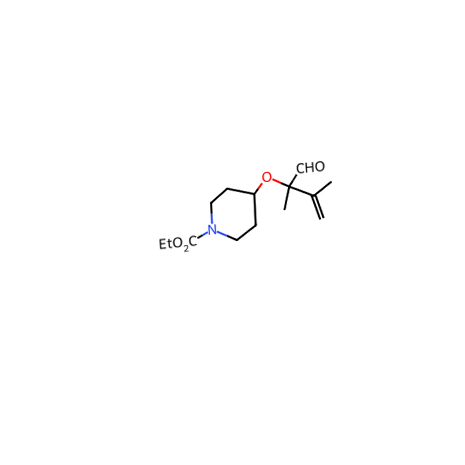 C=C(C)C(C)(C=O)OC1CCN(C(=O)OCC)CC1